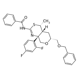 C[C@H]1SC(NC(=O)c2ccccc2)=N[C@@]2(c3ccc(F)cc3F)CO[C@@H](COCc3ccccc3)C[C@@H]12